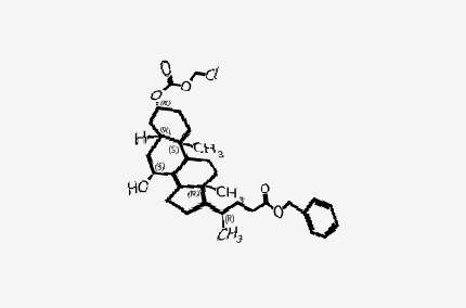 C[C@H](CCC(=O)OCc1ccccc1)C1CCC2C3C(CC[C@@]21C)[C@@]1(C)CC[C@@H](OC(=O)OCCl)C[C@H]1C[C@@H]3O